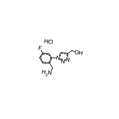 Cl.NCc1ccc(F)cc1-n1cc(CO)nn1